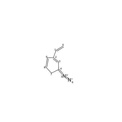 C=CC1=CC(=[N+]=[N-])CC=C1